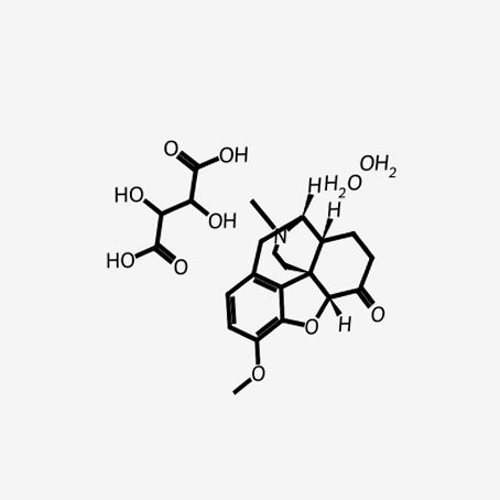 COc1ccc2c3c1O[C@H]1C(=O)CC[C@H]4[C@@H](C2)N(C)CC[C@]314.O.O.O=C(O)C(O)C(O)C(=O)O